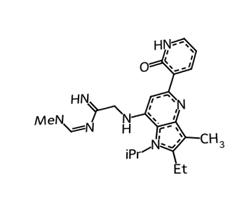 CCc1c(C)c2nc(-c3ccc[nH]c3=O)cc(NCC(=N)/N=C\NC)c2n1C(C)C